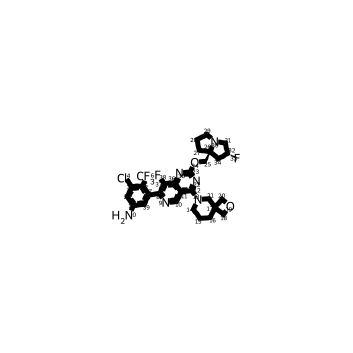 Nc1cc(Cl)c(C(F)(F)F)c(-c2ncc3c(N4CCCC5(COC5)C4)nc(OC[C@@]45CCCN4C[C@H](F)C5)nc3c2F)c1